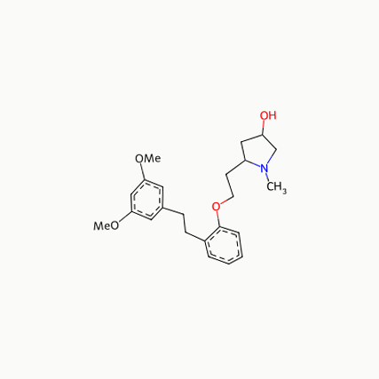 COc1cc(CCc2ccccc2OCCC2CC(O)CN2C)cc(OC)c1